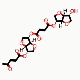 CC(=O)C=CC(=O)O[C@H]1CO[C@H]2[C@@H]1OC[C@H]2OC(=O)C=CC(=O)O[C@H]1CO[C@H]2[C@@H]1OC[C@H]2O